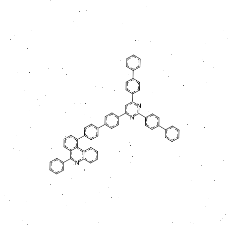 c1ccc(-c2ccc(-c3cc(-c4ccc(-c5ccc(-c6cccc7c(-c8ccccc8)nc8ccccc8c67)cc5)cc4)nc(-c4ccc(-c5ccccc5)cc4)n3)cc2)cc1